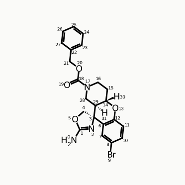 NC1=N[C@]2(CO1)c1cc(Br)ccc1O[C@H]1CCN(C(=O)OCc3ccccc3)C[C@@H]12